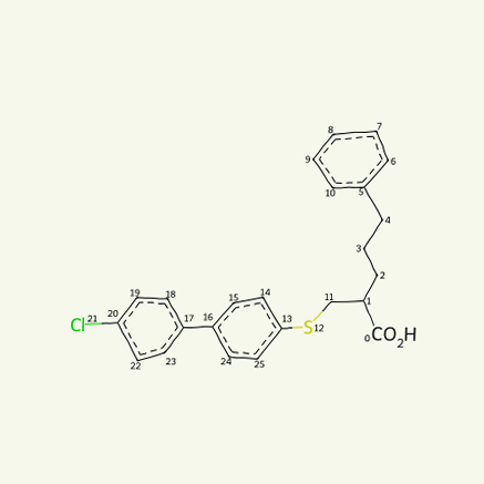 O=C(O)C(CCCc1ccccc1)CSc1ccc(-c2ccc(Cl)cc2)cc1